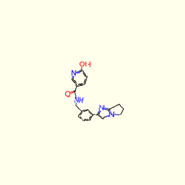 O=C(NCc1cccc(-c2cn3c(n2)CCC3)c1)c1ccc(O)nc1